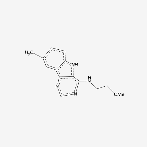 COCCNc1ncnc2c1[nH]c1ccc(C)cc12